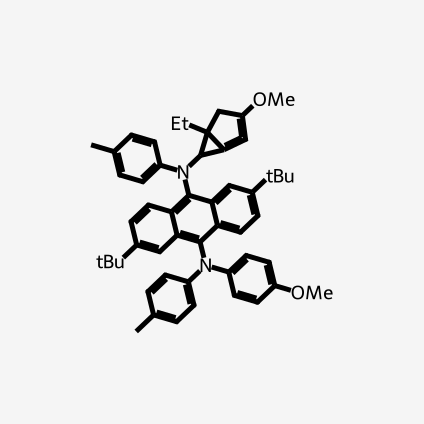 CCC12CC(OC)=C=C1C2N(c1ccc(C)cc1)c1c2ccc(C(C)(C)C)cc2c(N(c2ccc(C)cc2)c2ccc(OC)cc2)c2ccc(C(C)(C)C)cc12